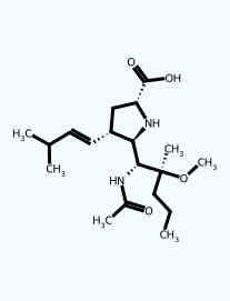 CCC[C@](C)(OC)[C@H](NC(C)=O)[C@@H]1N[C@@H](C(=O)O)C[C@H]1C=CC(C)C